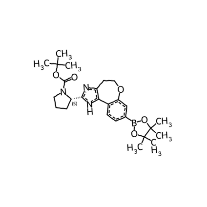 CC(C)(C)OC(=O)N1CCC[C@H]1c1nc2c([nH]1)-c1ccc(B3OC(C)(C)C(C)(C)O3)cc1OCC2